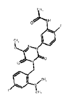 COc1nn(-c2ccc(F)c(NC(C)=O)c2)c(=O)n(Cc2ccc(F)cc2N(C)C)c1=O